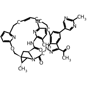 CC(=O)c1nn2c3c(cc(-c4cnc(C)nc4)cc13)CCCC/C=C/CCc1cccc(n1)OC[C@@]13C[C@@H](C(=O)Nc4nc(Br)ccc4C)N(C(=O)C2)C1[C@@H]3C